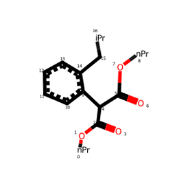 CCCOC(=O)C(C(=O)OCCC)c1ccccc1CC(C)C